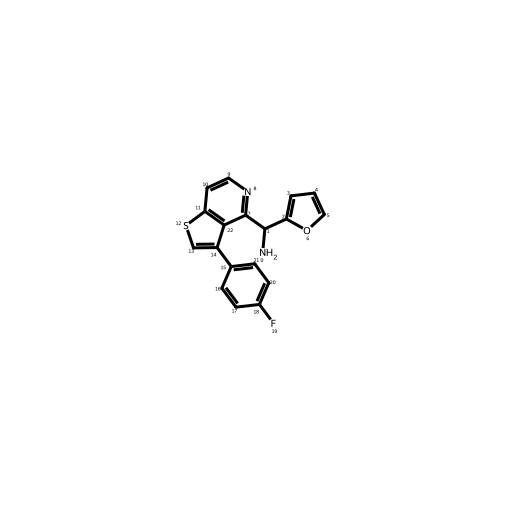 NC(c1ccco1)c1nccc2scc(-c3ccc(F)cc3)c12